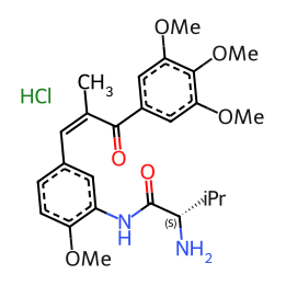 COc1ccc(C=C(C)C(=O)c2cc(OC)c(OC)c(OC)c2)cc1NC(=O)[C@@H](N)C(C)C.Cl